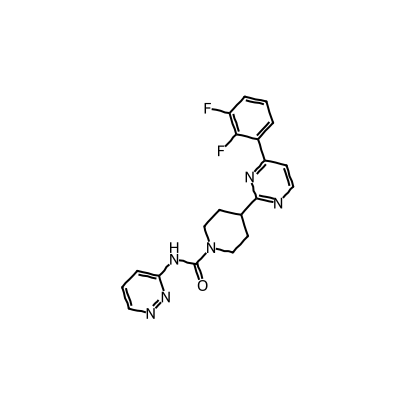 O=C(Nc1cccnn1)N1CCC(c2nccc(-c3cccc(F)c3F)n2)CC1